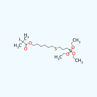 CCO[Si](CCCSCCCCCCOC(=O)C(C)(C)I)(OCC)OCC